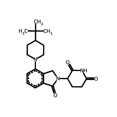 CC(C)(C)C1CCN(c2cccc3c2CN(C2CCC(=O)NC2=O)C3=O)CC1